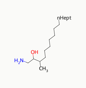 CCCCCCCCCCCCCCC(C)C(O)CN